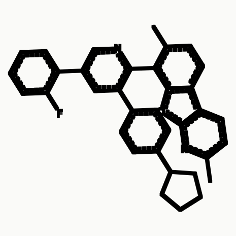 Cc1ccc2c(n1)oc1c(-c3ncc(-c4ccccc4F)cc3-c3ccc(C4CCCC4)cc3)c(C)ccc12